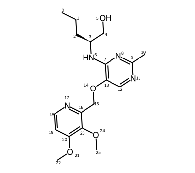 CCC[C@@H](CO)Nc1nc(C)ncc1OCc1nccc(OC)c1OC